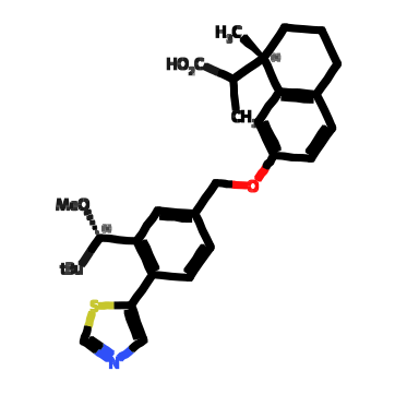 CO[C@H](c1cc(COc2ccc3c(c2)[C@](C)(C(C)C(=O)O)CCC3)ccc1-c1cncs1)C(C)(C)C